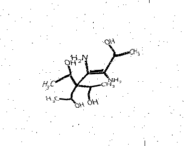 CC(O)C(N)=C(N)C(C(C)O)(C(C)O)C(C)O